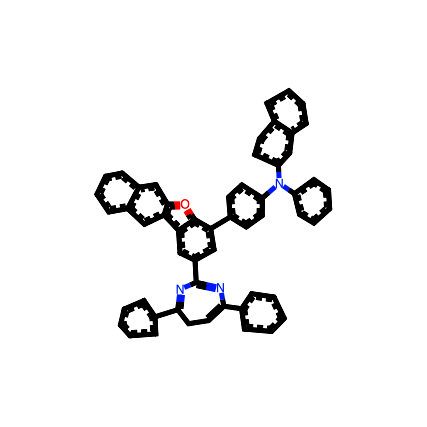 C1=C(c2ccccc2)N=C(c2cc(-c3ccc(N(c4ccccc4)c4ccc5ccccc5c4)cc3)c3oc4cc5ccccc5cc4c3c2)N=C(c2ccccc2)C1